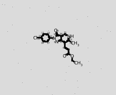 CCOC(=O)C=Cc1c2nn(-c3ccc(Cl)cc3)c(=O)c-2c[nH]c1C